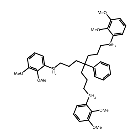 COc1cccc([SiH2]CCCC(CCC[SiH2]c2cccc(OC)c2OC)(CCC[SiH2]c2cccc(OC)c2OC)c2ccccc2)c1OC